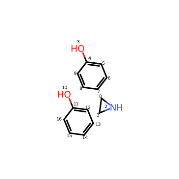 C1CN1.Oc1ccccc1.Oc1ccccc1